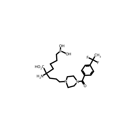 CC(F)(F)c1ccc(C(=O)N2CCN(CCCC(N)(CCCCB(O)O)C(=O)O)CC2)cc1